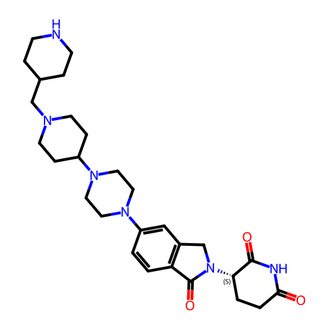 O=C1CC[C@H](N2Cc3cc(N4CCN(C5CCN(CC6CCNCC6)CC5)CC4)ccc3C2=O)C(=O)N1